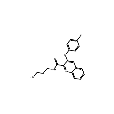 NCCCNC(=O)c1nc2ccccc2cc1Nc1ccc(F)cc1